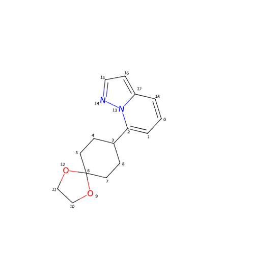 c1cc(C2CCC3(CC2)OCCO3)n2nccc2c1